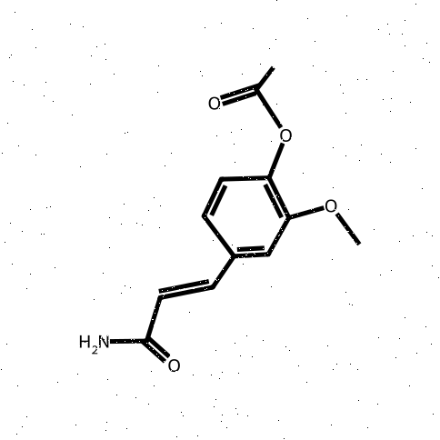 COc1cc(/C=C/C(N)=O)ccc1OC(C)=O